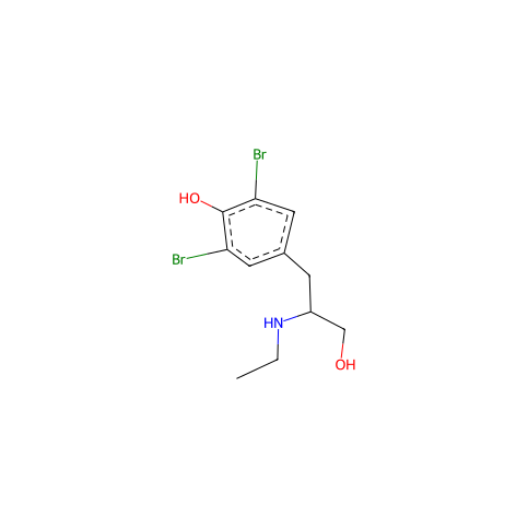 CCNC(CO)Cc1cc(Br)c(O)c(Br)c1